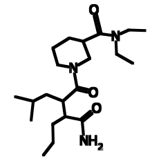 CCCC(C(N)=O)C(CC(C)C)C(=O)N1CCCC(C(=O)N(CC)CC)C1